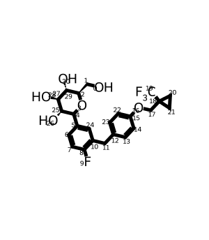 OC[C@H]1OC(c2ccc(F)c(Cc3ccc(OCC4(C(F)(F)F)CC4)cc3)c2)[C@H](O)[C@@H](O)[C@@H]1O